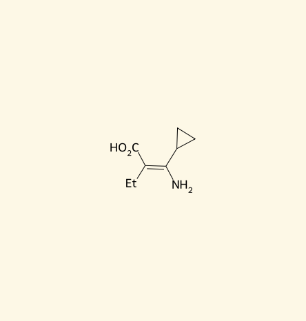 CCC(C(=O)O)=C(N)C1CC1